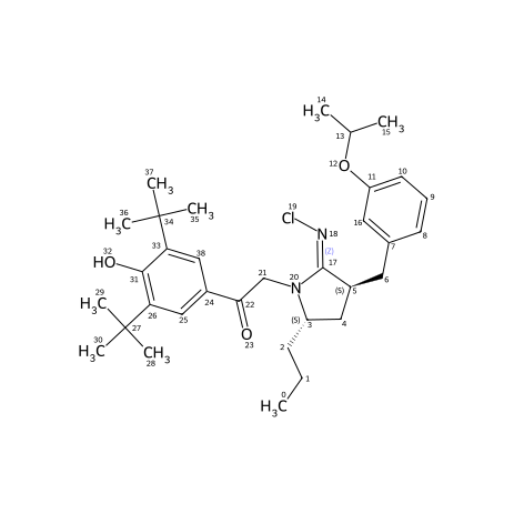 CCC[C@H]1C[C@H](Cc2cccc(OC(C)C)c2)/C(=N/Cl)N1CC(=O)c1cc(C(C)(C)C)c(O)c(C(C)(C)C)c1